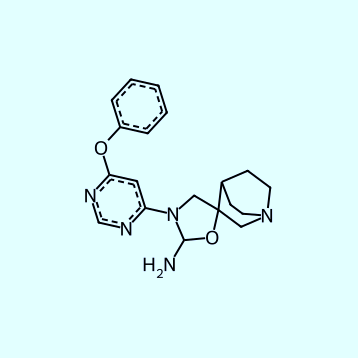 NC1OC2(CN3CCC2CC3)CN1c1cc(Oc2ccccc2)ncn1